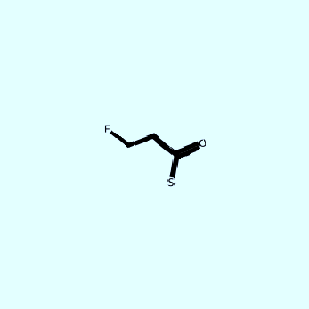 O=C([S])CCF